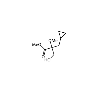 COC(=O)C(CO)(CC1CC1)OC